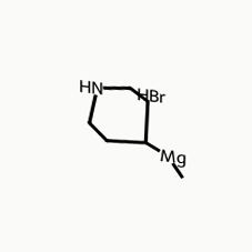 Br.[CH3][Mg][CH]1CCNCC1